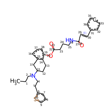 CCCN(CCc1cccs1)C1CCc2c(cccc2OC(=O)CCCNC(=O)/C=C/c2ccccc2)C1